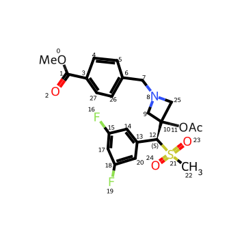 COC(=O)c1ccc(CN2CC(OC(C)=O)([C@H](c3cc(F)cc(F)c3)S(C)(=O)=O)C2)cc1